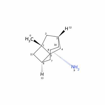 C[C@@]12C[C@@H]3CC1[C@@H](C[C@H](N)C3)C2